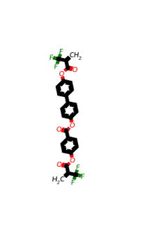 C=C(C(=O)Oc1ccc(C(=O)Oc2ccc(-c3ccc(OC(=O)C(=C)C(F)(F)F)cc3)cc2)cc1)C(F)(F)F